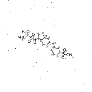 CC(C)S(=O)(=O)NC1=C2CC=C(Cc3cccc(S(C)(=O)=O)c3)C=C2CC1